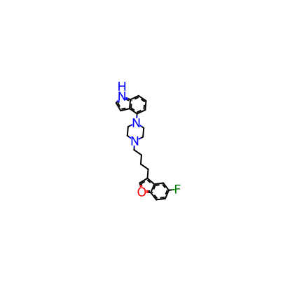 Fc1ccc2occ(CCCCN3CCN(c4cccc5[nH]ccc45)CC3)c2c1